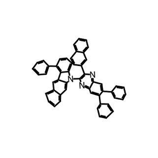 c1ccc(-c2cc3nc(-c4ccc5ccccc5c4)c(-n4c5cc6ccccc6cc5c5c(-c6ccccc6)cccc54)nc3cc2-c2ccccc2)cc1